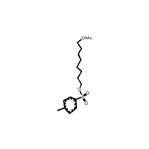 COCCCCCCCCOS(=O)(=O)c1ccc(C)cc1